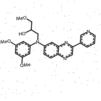 COCC(O)CN(c1cc(OC)cc(OC)c1)c1ccc2ncc(-c3cccnc3)nc2c1